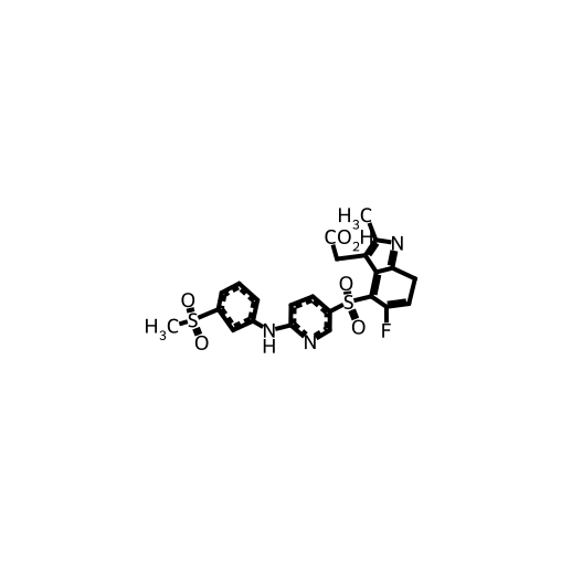 CC1=C(CC(=O)O)C2=C(S(=O)(=O)c3ccc(Nc4cccc(S(C)(=O)=O)c4)nc3)C(F)=CCC2=N1